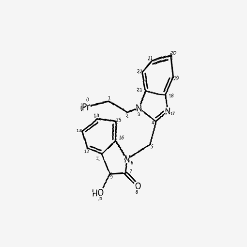 CC(C)CCn1c(CN2C(=O)C(O)c3ccccc32)nc2ccccc21